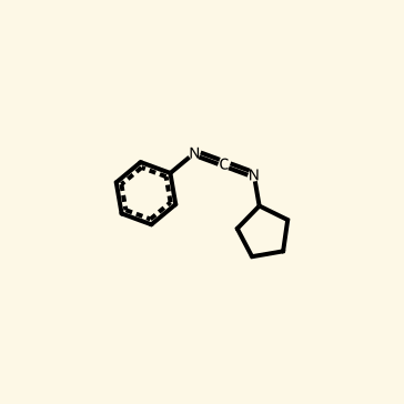 C(=Nc1ccccc1)=NC1CCCC1